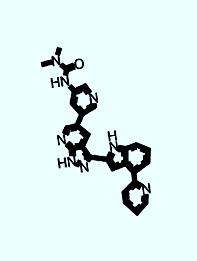 CN(C)C(=O)Nc1cncc(-c2cnc3[nH]nc(-c4cc5c(-c6ccccn6)cccc5[nH]4)c3c2)c1